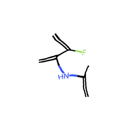 C=C(C)NC(=C)C(=C)F